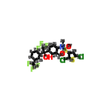 Cc1cc(C(O)(c2cccc(C(F)(F)F)c2)C(F)(F)F)ccc1N(C)S(=O)(=O)c1cc(Cl)sc1Cl